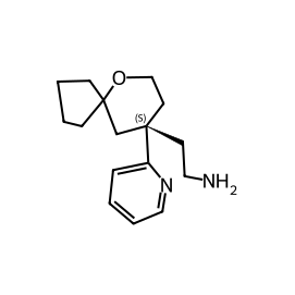 NCC[C@]1(c2ccccn2)CCOC2(CCCC2)C1